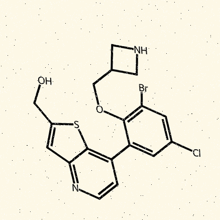 OCc1cc2nccc(-c3cc(Cl)cc(Br)c3OCC3CNC3)c2s1